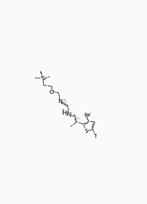 C/C(=N\N/C=N/COCC[Si](C)(C)C)c1sc(I)cc1Br